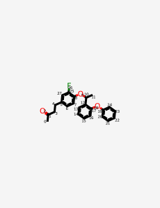 CC(=O)CCc1ccc(OC(C)c2ccccc2Oc2ccccc2)c(F)c1